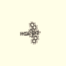 C1=C(C2CCCC2)[CH]([Hf]2([CH]3C(C4CCCC4)=Cc4c3ccc3ccccc43)[CH2]C[CH2]2)c2ccc3ccccc3c21.Cl.Cl